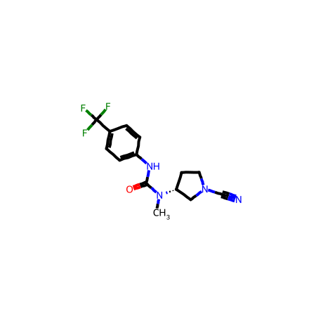 CN(C(=O)Nc1ccc(C(F)(F)F)cc1)[C@@H]1CCN(C#N)C1